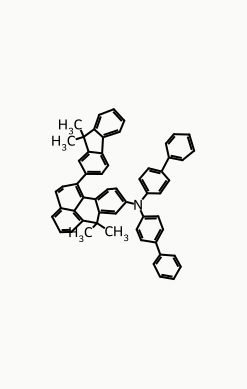 CC1(C)c2ccccc2-c2ccc(-c3ccc4cccc5c4c3-c3ccc(N(c4ccc(-c6ccccc6)cc4)c4ccc(-c6ccccc6)cc4)cc3C5(C)C)cc21